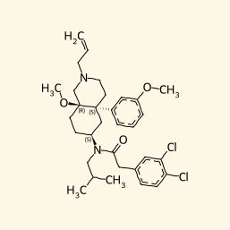 C=CCN1CC[C@@]2(c3cccc(OC)c3)C[C@@H](N(CC(C)C)C(=O)Cc3ccc(Cl)c(Cl)c3)CC[C@]2(OC)C1